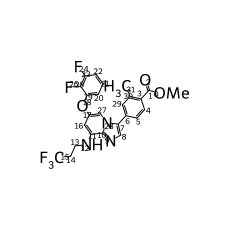 COC(=O)c1ccc(-c2cnc3c(NCCC(F)(F)F)cc(Oc4cccc(F)c4F)cn23)cc1C